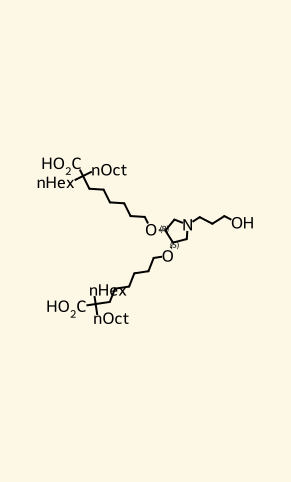 CCCCCCCCC(CCCCCC)(CCCCCCO[C@H]1CN(CCCO)C[C@H]1OCCCCCCC(CCCCCC)(CCCCCCCC)C(=O)O)C(=O)O